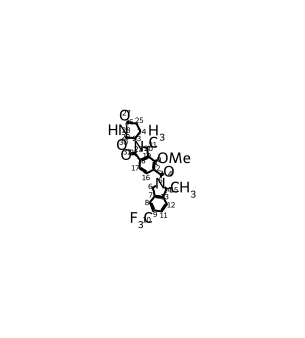 COc1c(C(=O)N2Cc3cc(C(F)(F)F)ccc3[C@@H]2C)ccc2c1[C@@H](C)N([C@H]1CCC(=O)NC1=O)C2=O